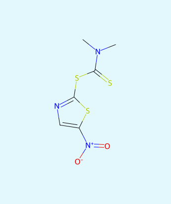 CN(C)C(=S)Sc1ncc([N+](=O)[O-])s1